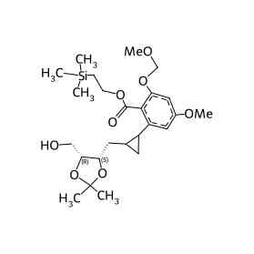 COCOc1cc(OC)cc(C2CC2C[C@@H]2OC(C)(C)O[C@@H]2CO)c1C(=O)OCC[Si](C)(C)C